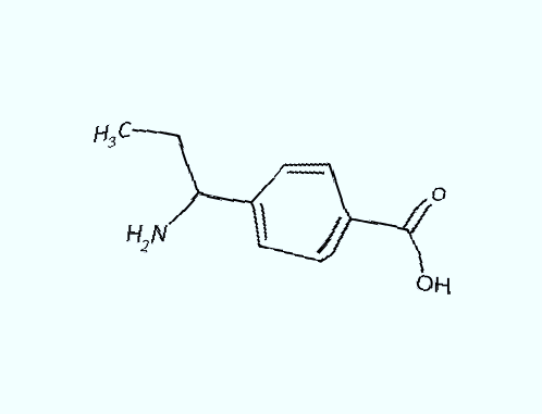 CCC(N)c1ccc(C(=O)O)cc1